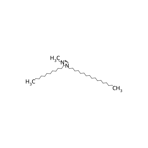 CCCCCCCCCCCCCCCCCn1cc[n+](CC)c1CCCCCCCCCCC